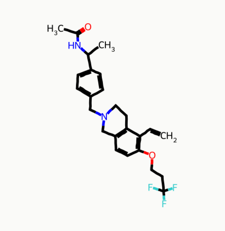 C=Cc1c(OCCC(F)(F)F)ccc2c1CCN(Cc1ccc(C(C)NC(C)=O)cc1)C2